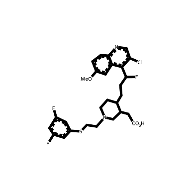 COc1ccc2ncc(Cl)c(C(F)CCC3CCN(CCSc4cc(F)cc(F)c4)CC3CC(=O)O)c2c1